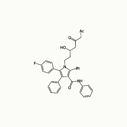 CC(=O)CC(=O)CC(O)CCn1c(-c2ccc(F)cc2)c(-c2ccccc2)c(C(=O)Nc2ccccc2)c1C(C)C